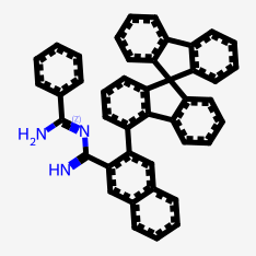 N=C(/N=C(\N)c1ccccc1)c1cc2ccccc2cc1-c1cccc2c1-c1ccccc1C21c2ccccc2-c2ccccc21